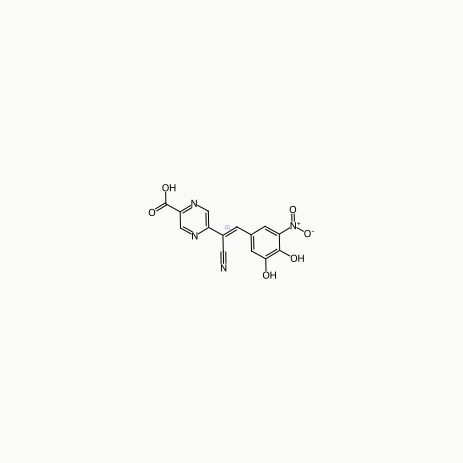 N#C/C(=C\c1cc(O)c(O)c([N+](=O)[O-])c1)c1cnc(C(=O)O)cn1